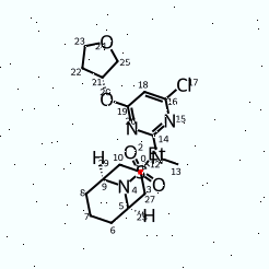 CCS(=O)(=O)N1[C@@H]2CCC[C@H]1C[C@H](N(C)c1nc(Cl)cc(O[C@@H]3CCOC3)n1)C2